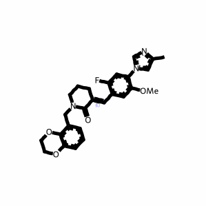 COc1cc(/C=C2\CCCN(Cc3cccc4c3OCCO4)C2=O)c(F)cc1-n1cnc(C)c1